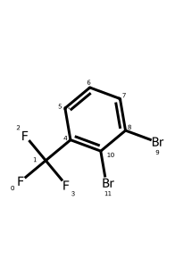 FC(F)(F)c1[c]ccc(Br)c1Br